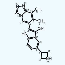 Cc1c(-c2[nH]c3ccc(C4CNC4)cc3c2C(C)C)cn2cnnc2c1C